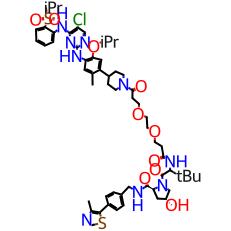 Cc1cc(Nc2ncc(Cl)c(Nc3ccccc3S(=O)(=O)C(C)C)n2)c(OC(C)C)cc1C1CCN(C(=O)CCOCCOCCC(=O)NC(C(=O)N2C[C@H](O)C[C@H]2C(=O)NCc2ccc(-c3scnc3C)cc2)C(C)(C)C)CC1